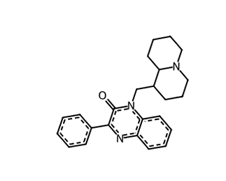 O=c1c(-c2ccccc2)nc2ccccc2n1CC1CCCN2CCCCC12